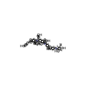 CC1=C(C#N)C(O)N(C)C(O)=C1/N=N/c1ccc(NS(=O)(=O)c2ccc(/N=N/c3c(S(=O)(=O)O)cc4cc(SOOO)c(/N=N/c5ccc(S(=O)(=O)CCOSOOO)cc5S(=O)(=O)O)c(N)c4c3O)cc2)cc1